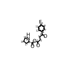 O=C(CCC(=O)c1ccc(F)cc1)OC(=O)[C@@H]1CCCN1